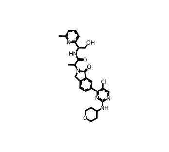 Cc1cccc(C(CO)NC(=O)C(C)N2Cc3ccc(-c4nc(NC5CCOCC5)ncc4Cl)cc3C2=O)n1